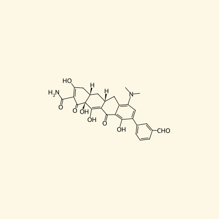 CN(C)c1cc(-c2cccc(C=O)c2)c(O)c2c1C[C@H]1C[C@H]3CC(O)=C(C(N)=O)C(=O)[C@@]3(O)C(O)=C1C2=O